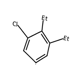 CCc1c[c]cc(Cl)c1CC